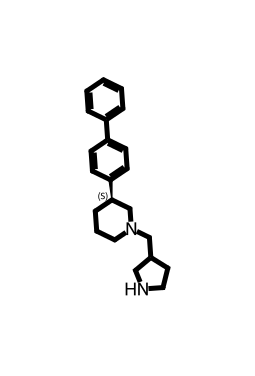 c1ccc(-c2ccc([C@@H]3CCCN(CC4CCNC4)C3)cc2)cc1